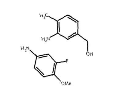 COc1ccc(N)cc1F.Cc1ccc(CO)cc1N